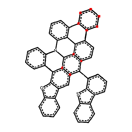 c1ccc(-c2ccccc2-c2c(-c3ccccc3)cccc2N(c2ccc(-c3cccc4c3sc3ccccc34)cc2)c2ccccc2-c2cccc3c2oc2ccccc23)cc1